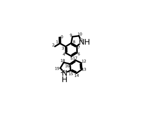 C=C(C)c1cccc2c1CCN2.c1ccc2c(c1)CCN2